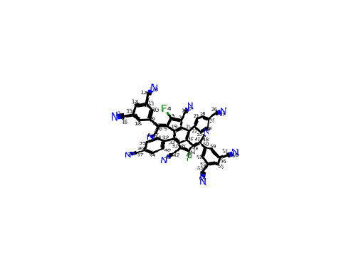 N#CC1=C(F)/C(=C(/C#N)c2cc(C#N)cc(C#N)c2)c2c1c(-c1ccc(C#N)cc1)c1c(c2-c2ccc(C#N)cc2)C(C#N)=C(F)/C1=C(/C#N)c1cc(C#N)cc(C#N)c1